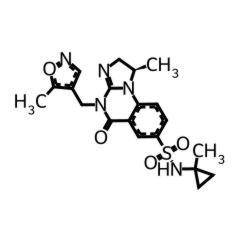 Cc1oncc1CN1C(=O)c2cc(S(=O)(=O)NC3(C)CC3)ccc2N2C1=NC[C@H]2C